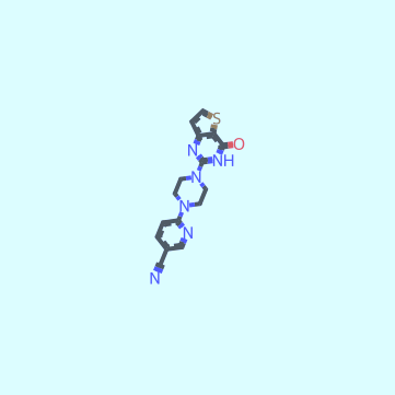 N#Cc1ccc(N2CCN(c3nc4ccsc4c(=O)[nH]3)CC2)nc1